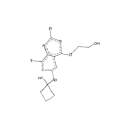 CCc1nc(OCCO)c2cc(NC3(C#N)CCC3)cc(F)c2n1